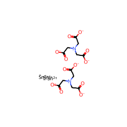 O=C([O-])CN(CC(=O)[O-])CC(=O)[O-].O=C([O-])CN(CC(=O)[O-])CC(=O)[O-].[Sn+2].[Sn+2].[Sn+2]